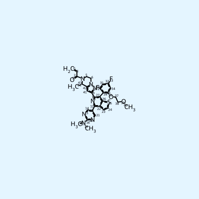 C=CC(=O)N1CCn2nc(-c3nc(-c4cnc(N(C)C)nc4)c4ccsc4c3-c3c(F)cc(F)cc3OCCOC)cc2[C@H]1C